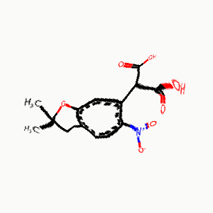 CC1(C)Cc2cc([N+](=O)[O-])c(C(C(=O)O)C(=O)O)cc2O1